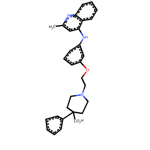 Cc1cc(Nc2cccc(OCCN3CCC(C(=O)O)(c4ccccc4)CC3)c2)c2ccccc2n1